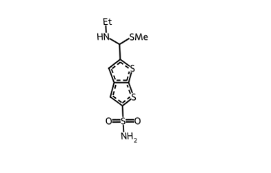 CCNC(SC)c1cc2cc(S(N)(=O)=O)sc2s1